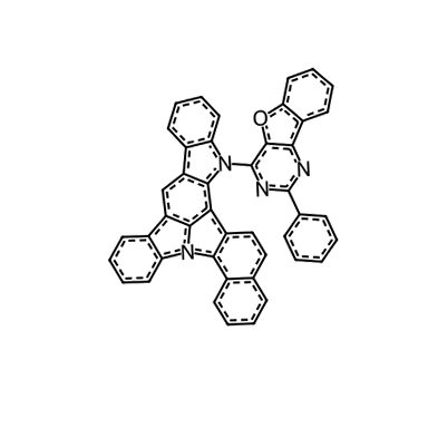 c1ccc(-c2nc(-n3c4ccccc4c4cc5c6ccccc6n6c7c8ccccc8ccc7c(c43)c56)c3oc4ccccc4c3n2)cc1